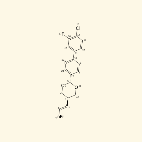 CCCC=C[C@H]1CO[C@H](c2ccc(-c3ccc(Cl)c(F)c3)nc2)OC1